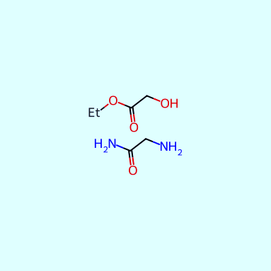 CCOC(=O)CO.NCC(N)=O